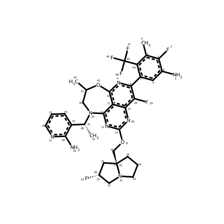 Cc1c(F)c(N)cc(-c2nc3c4c(nc(OC[C@@]56CCCN5C[C@H](F)C6)nc4c2F)N([C@H](C)c2cccnc2N)CC(C)O3)c1C(F)(F)F